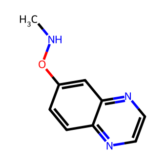 CNOc1ccc2nccnc2c1